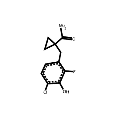 NC(=O)C1([CH]c2ccc(Cl)c(O)c2F)CC1